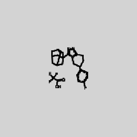 Fc1ccc(C2CCc3nnc(C45CC6CC(CC(C6)C4)C5)n3C2)cc1.O=C(O)C(F)(F)F